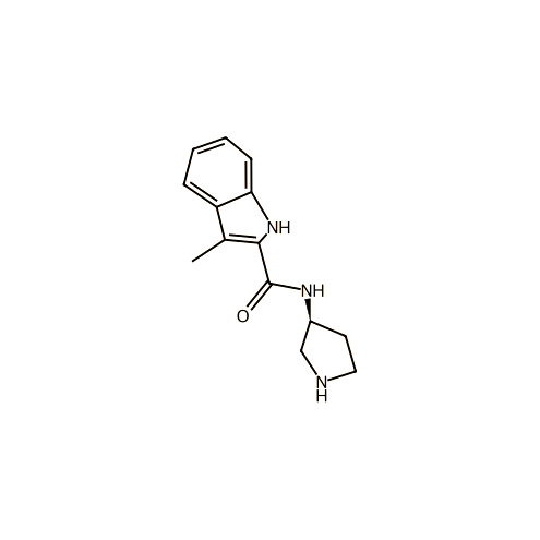 Cc1c(C(=O)N[C@H]2CCNC2)[nH]c2ccccc12